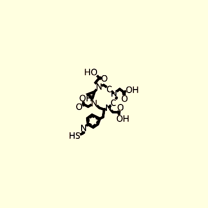 O=C(O)CN1CCN(CC(=O)O)C(Cc2ccc(/N=C/S)cc2)CN(CC(=O)O)C2CC2N(CC(=O)O)CC1